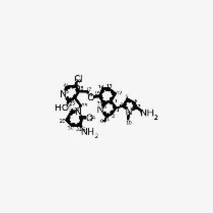 Cc1cc(-c2ccc(N)n2C)c2cccc(OCc3c(Cl)cnc(O)c3Cn3cccc(N)c3=O)c2n1